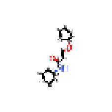 O=C(C=COc1ccccc1)Nc1ccccc1